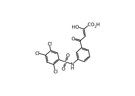 O=C(O)C(O)=CC(=O)c1cccc(NS(=O)(=O)c2cc(Cl)c(Cl)cc2Cl)c1